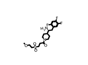 COCCS(=O)(=O)CCC(=O)N1CCC([C@H](N)Cc2cc(F)c(F)cc2F)CC1